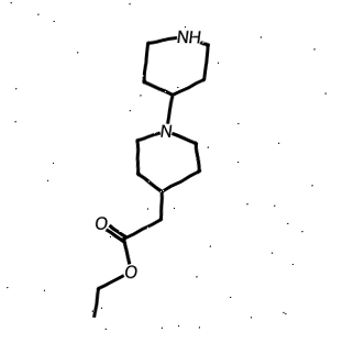 CCOC(=O)CC1CCN(C2CCNCC2)CC1